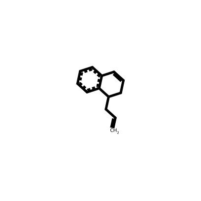 C=CCC1CC=Cc2ccccc21